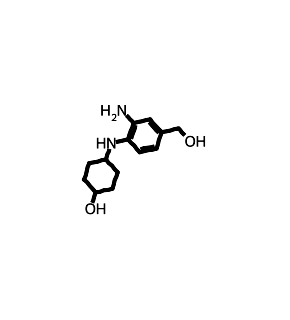 Nc1cc(CO)ccc1NC1CCC(O)CC1